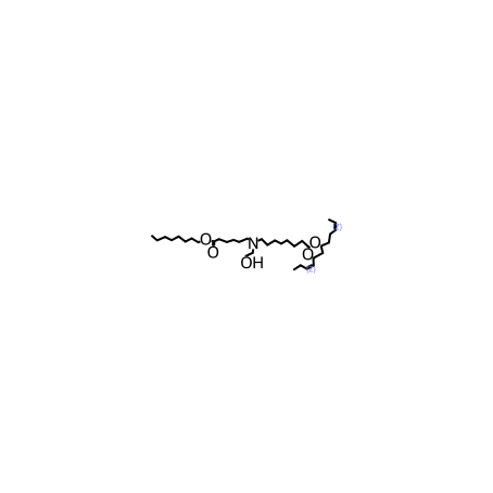 C/C=C\CCC(CC/C=C\CC)OC(=O)CCCCCCCN(CCO)CCCCCC(=O)OCCCCCCCC